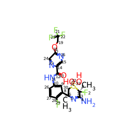 C[C@]1(F)C(N)=N[C@](C)(c2cc(NC(=O)c3cnc(OCC(F)(F)F)cn3)ccc2F)CS1(O)O